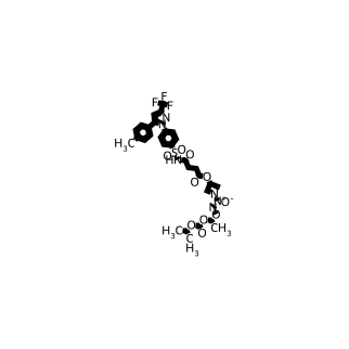 Cc1ccc(-c2cc(C(F)(F)F)nn2-c2ccc(S(=O)(=O)NC(=O)CCC(=O)OC3CN([N+]([O-])=NOC(C)OC(=O)OC(C)C)C3)cc2)cc1